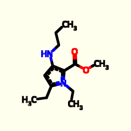 CCCNc1cc(CC)n(CC)c1C(=O)OC